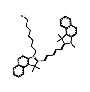 CN1/C(=C/C=C/C=C/C2=[N+](CCCCCCCO)c3ccc4ccccc4c3C2(C)C)C(C)(C)c2c1ccc1ccccc21